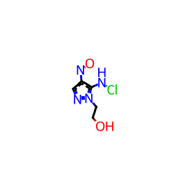 O=Nc1cnn(CCO)c1NCl